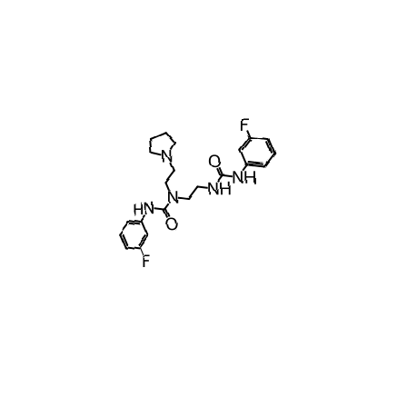 O=C(NCCN(CCN1CCCC1)C(=O)Nc1cccc(F)c1)Nc1cccc(F)c1